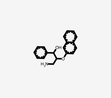 NCC(Oc1ccc2ccccc2c1)C(O)c1ccccc1